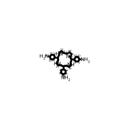 Nc1ccc(-c2c3nc(c4ccc([nH]4)c(-c4ccc(N)cc4)c4ccc([nH]4)c(-c4ccc(N)cc4)c4ccc2[nH]4)C=C3)cc1